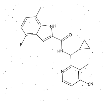 Cc1c(C#N)ccnc1C(NC(=O)c1cc2c(F)ccc(C)c2[nH]1)C1CC1